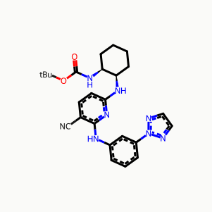 CC(C)(C)OC(=O)N[C@H]1CCCC[C@H]1Nc1ccc(C#N)c(Nc2cccc(-n3nccn3)c2)n1